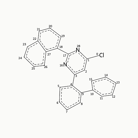 Clc1cc(-c2ccccc2-c2ccccc2)nc(-c2cccc3ccccc23)n1